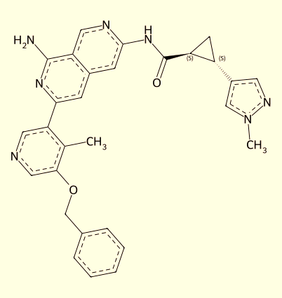 Cc1c(OCc2ccccc2)cncc1-c1cc2cc(NC(=O)[C@H]3C[C@@H]3c3cnn(C)c3)ncc2c(N)n1